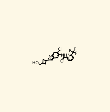 O=C(Nc1cc2cn(C3CC(CO)C3)nc2cc1Cl)c1cccc(C(F)(F)F)n1